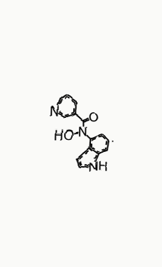 O=C(c1cccnc1)N(O)c1c[c]cc2[nH]ccc12